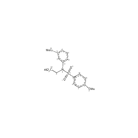 COc1ccc(S(=O)(=O)N(CC(=O)O)c2cccc(OC)c2)cc1